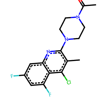 CC(=O)N1CCN(c2nc3cc(F)cc(F)c3c(Cl)c2C)CC1